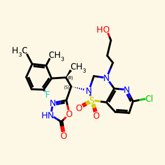 Cc1ccc(F)c([C@@H](C)[C@@H](c2n[nH]c(=O)o2)N2CN(CCCO)c3nc(Cl)ccc3S2(=O)=O)c1C